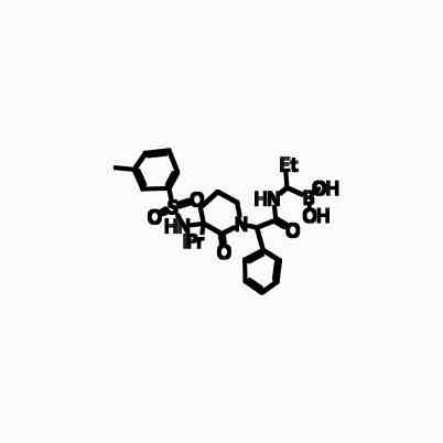 CCC(NC(=O)C(c1ccccc1)N1CCCC(NS(=O)(=O)c2cccc(C)c2)(C(C)C)C1=O)B(O)O